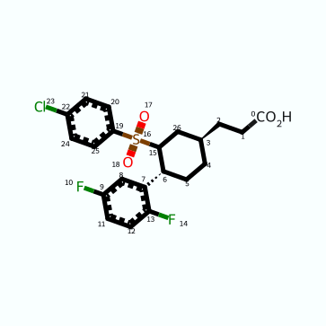 O=C(O)CC[C@H]1CC[C@H](c2cc(F)ccc2F)C(S(=O)(=O)c2ccc(Cl)cc2)C1